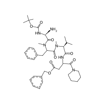 CC(C)[C@@H](C(=O)NC(CC(=O)OCc1ccccc1)C(=O)N1CCCCC1)N(C)C(=O)C(Cc1ccccc1)N(C)C(=O)[C@H](N)NC(=O)OC(C)(C)C